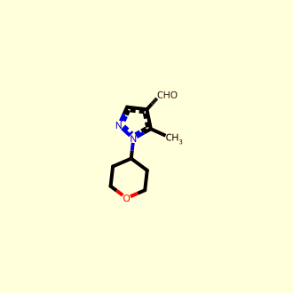 Cc1c(C=O)cnn1C1CCOCC1